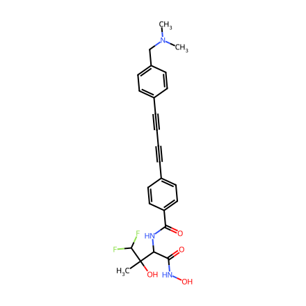 CN(C)Cc1ccc(C#CC#Cc2ccc(C(=O)NC(C(=O)NO)C(C)(O)C(F)F)cc2)cc1